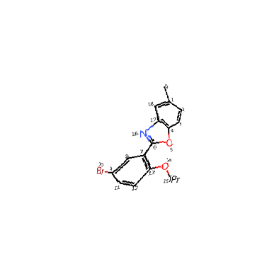 Cc1ccc2oc(-c3cc(Br)ccc3OC(C)C)nc2c1